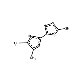 Cc1cc(-c2nnc(S)s2)[nH]c1C